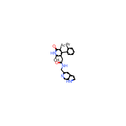 CC(=O)c1c(-c2ccccc2C(C)C)c(CC(=O)NCc2cc3cc[nH]c3cn2)c(C)[nH]c1=O